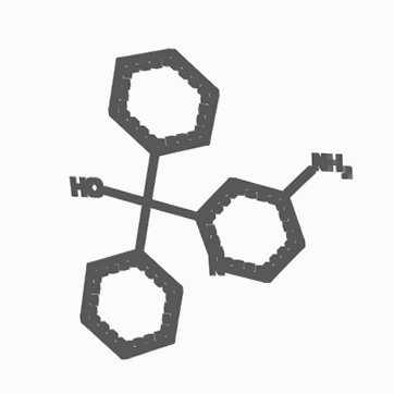 Nc1ccnc(C(O)(c2ccccc2)c2ccccc2)c1